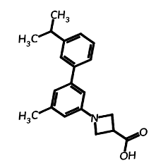 Cc1cc(-c2cccc(C(C)C)c2)cc(N2CC(C(=O)O)C2)c1